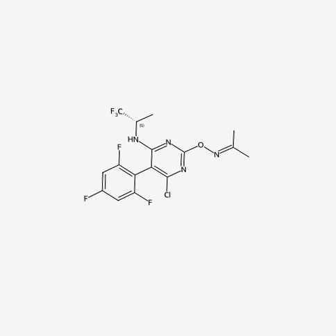 CC(C)=NOc1nc(Cl)c(-c2c(F)cc(F)cc2F)c(N[C@@H](C)C(F)(F)F)n1